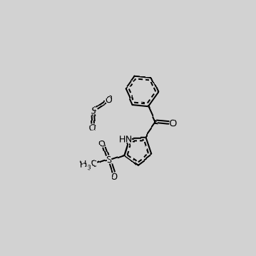 CS(=O)(=O)c1ccc(C(=O)c2ccccc2)[nH]1.O=S=O